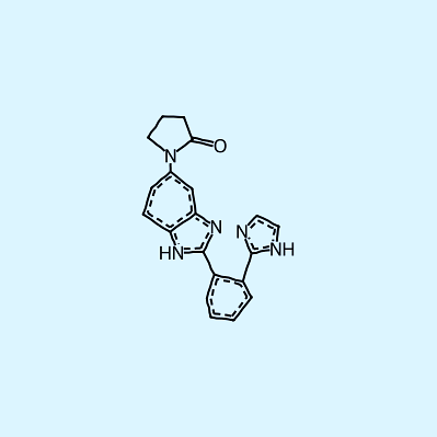 O=C1CCCN1c1ccc2[nH]c(-c3ccccc3-c3ncc[nH]3)nc2c1